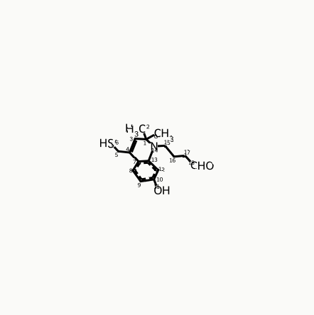 CC1(C)C=C(CS)c2ccc(O)cc2N1CCCC=O